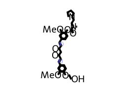 COc1cc(/C=C/C(=O)CC(=O)/C=C/c2ccc(OC(=O)N(C)CCN3CCCC3)c(OC)c2)ccc1OCCO